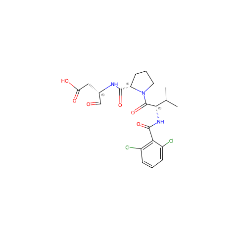 CC(C)[C@H](NC(=O)c1c(Cl)cccc1Cl)C(=O)N1CCC[C@H]1C(=O)N[C@H](C=O)CC(=O)O